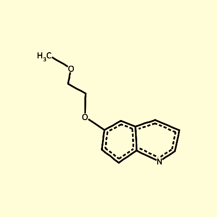 COCCOc1ccc2ncccc2c1